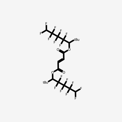 CC(C)(C)C(OC(=O)/C=C/C(=O)OC(C(C)(C)C)C(F)(F)C(F)(F)C(F)(F)C(F)F)C(F)(F)C(F)(F)C(F)(F)C(F)F